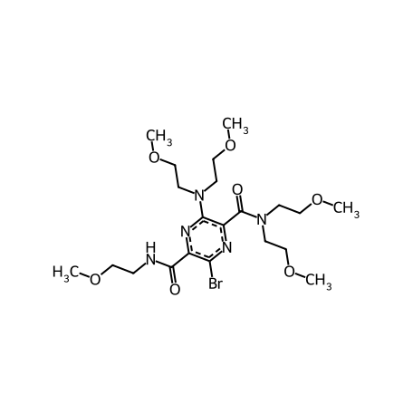 COCCNC(=O)c1nc(N(CCOC)CCOC)c(C(=O)N(CCOC)CCOC)nc1Br